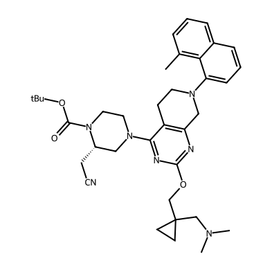 Cc1cccc2cccc(N3CCc4c(nc(OCC5(CN(C)C)CC5)nc4N4CCN(C(=O)OC(C)(C)C)[C@@H](CC#N)C4)C3)c12